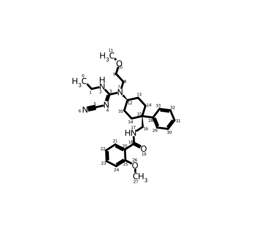 CCNC(=NC#N)N(CCOC)[C@H]1CC[C@](CNC(=O)c2ccccc2OC)(c2ccccc2)CC1